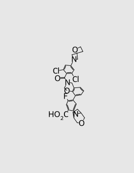 O=C(O)c1cc(F)c(-c2cccc3c2OCN(C(=O)c2c(Cl)cc(N4CC5(CCO5)C4)cc2Cl)C3)cc1N1C2CCC1COC2